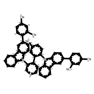 N#Cc1ccc(-c2ccc3c(c2)c2ccccc2n3-c2ccc(C#N)cc2-c2ccncc2-n2c3ccccc3c3cc(-c4ccc(C#N)cc4C#N)ccc32)c(C#N)c1